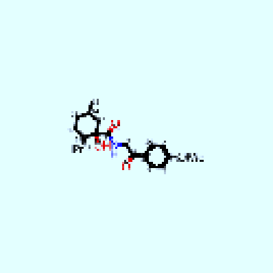 COc1ccc(C(=O)CNC(=O)C2(O)CC(C)CCC2C(C)C)cc1